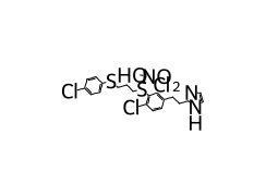 Clc1ccc(SCCCSc2c(Cl)ccc(CCc3ncc[nH]3)c2Cl)cc1.O=[N+]([O-])O